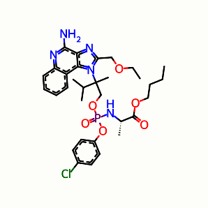 CCCCOC(=O)[C@H](C)NP(=O)(OCC(C)(C(C)C)n1c(COCC)nc2c(N)nc3ccccc3c21)Oc1ccc(Cl)cc1